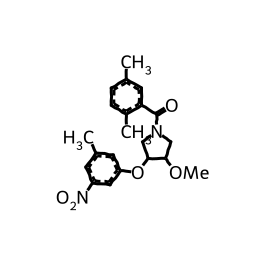 COC1CN(C(=O)c2cc(C)ccc2C)CC1Oc1cc(C)cc([N+](=O)[O-])c1